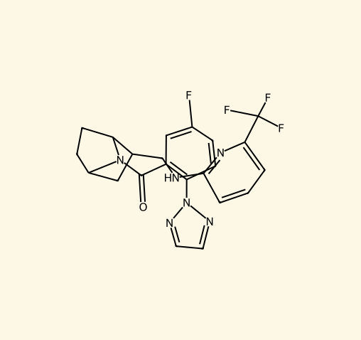 O=C(c1cc(F)ccc1-n1nccn1)N1C2CCC1C(CNc1cccc(C(F)(F)F)n1)C2